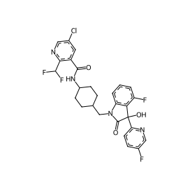 O=C(NC1CCC(CN2C(=O)C(O)(c3ccc(F)cn3)c3c(F)cccc32)CC1)c1cc(Cl)cnc1C(F)F